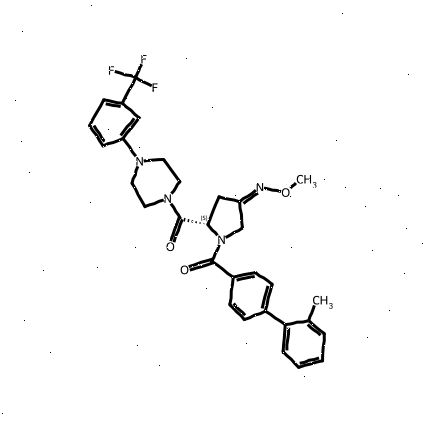 CON=C1C[C@@H](C(=O)N2CCN(c3cccc(C(F)(F)F)c3)CC2)N(C(=O)c2ccc(-c3ccccc3C)cc2)C1